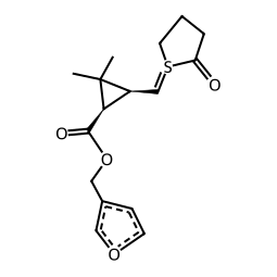 CC1(C)[C@H](C(=O)OCc2ccoc2)[C@@H]1/C=S1\CCCC1=O